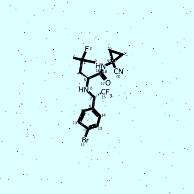 CC(C)(F)C[C@H](N[C@@H](c1ccc(Br)cc1)C(F)(F)F)C(=O)NC1(C#N)CC1